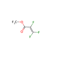 O=C(OC(F)(F)F)C(F)=C(F)F